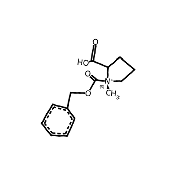 C[N@+]1(C(=O)OCc2ccccc2)CCCC1C(=O)O